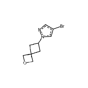 Brc1cnn(C2CC3(COC3)C2)c1